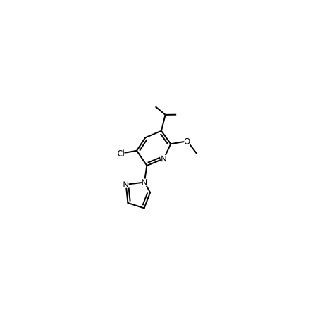 COc1nc(-n2cccn2)c(Cl)cc1C(C)C